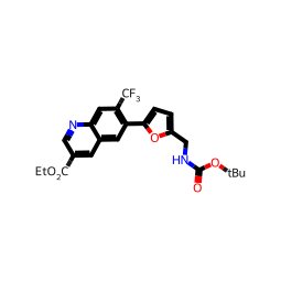 CCOC(=O)c1cnc2cc(C(F)(F)F)c(-c3ccc(CNC(=O)OC(C)(C)C)o3)cc2c1